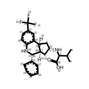 CC(C)C(N[C@@H]1C[C@@H]2[C@H](C1)c1cc(C(F)(F)F)ccc1N[C@H]2c1ccccc1)C(=O)O